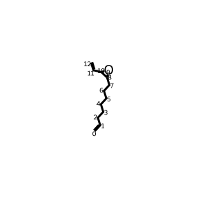 C=CCCCCCCC1OC1C=C